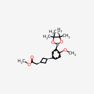 COC(=O)C[C@H]1C[C@@H](c2ccc(OC)c(B3OC(C)(C)C(C)(C)O3)c2)C1